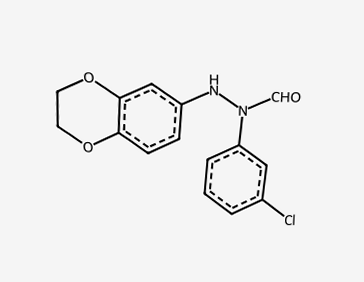 O=CN(Nc1ccc2c(c1)OCCO2)c1cccc(Cl)c1